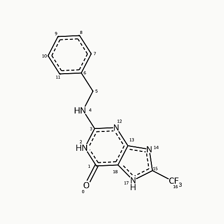 O=c1[nH]c(NCc2ccccc2)nc2nc(C(F)(F)F)[nH]c12